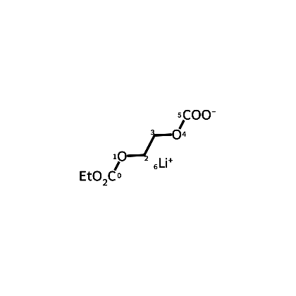 CCOC(=O)OCCOC(=O)[O-].[Li+]